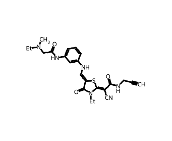 C#CCNC(=O)C(C#N)=c1sc(=CNc2cccc(NC(=O)CN(C)CC)c2)c(=O)n1CC